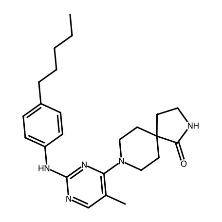 CCCCCc1ccc(Nc2ncc(C)c(N3CCC4(CCNC4=O)CC3)n2)cc1